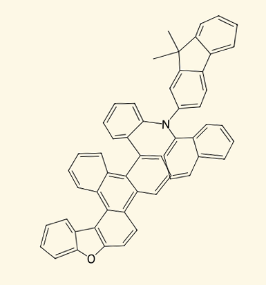 CC1(C)c2ccccc2-c2ccc(N(c3ccccc3-c3cccc4c5ccc6oc7ccccc7c6c5c5ccccc5c34)c3cccc4ccccc34)cc21